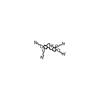 CN(C)CCCOc1cc2c(cc1OCCCN(C)C)-c1cc3ccc(OCCCN(C)C)c(OCCCN(C)C)c3c[n+]1CC2